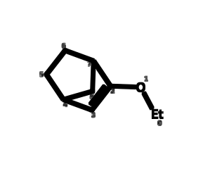 CCOC1=CC2CCC1C2